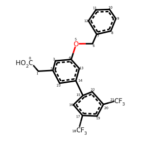 O=C(O)Cc1cc(OCc2ccccc2)cc(-c2cc(C(F)(F)F)cc(C(F)(F)F)c2)c1